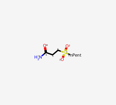 CCCCCS(=O)(=O)CCC(N)=O